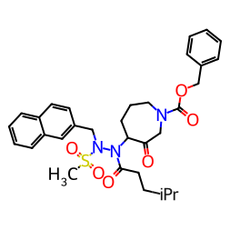 CC(C)CCC(=O)N(C1CCCN(C(=O)OCc2ccccc2)CC1=O)N(Cc1ccc2ccccc2c1)S(C)(=O)=O